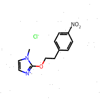 CN1C=C[N+]=C1OCCc1ccc([N+](=O)[O-])cc1.[Cl-]